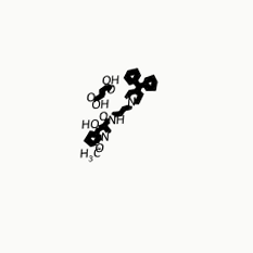 COc1cccc2c(O)c(C(=O)NCCCCN3CCC(=C(c4ccccc4)c4ccccc4)CC3)cnc12.O=C(O)C=CC(=O)O